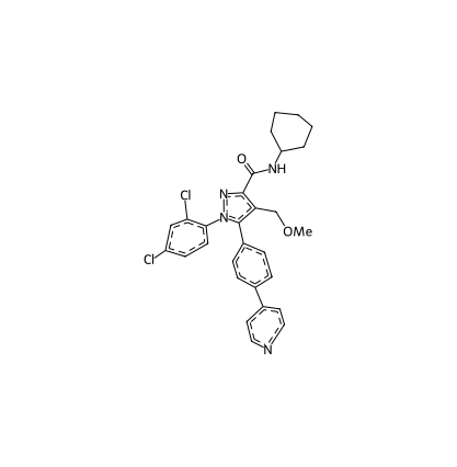 COCc1c(C(=O)NC2CCCCC2)nn(-c2ccc(Cl)cc2Cl)c1-c1ccc(-c2ccncc2)cc1